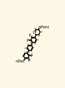 CCCCCCCCCCc1ccc(-c2ccc(-c3ccc(C4CCC(CCCCC)CO4)c(F)c3F)cc2)c(F)c1F